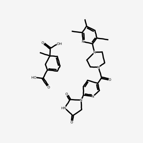 CC1(C(=O)O)C=CC=C(C(=O)O)C1.Cc1cc(C)c(N2CCN(C(=O)c3ccc(N4CC(=O)NC4=O)nc3)CC2)nc1C